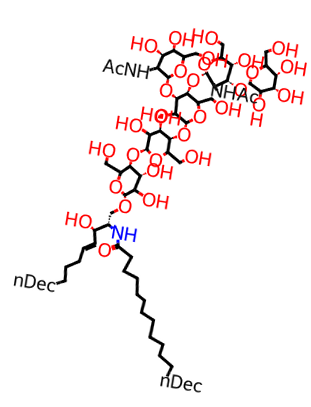 CCCCCCCCCCCCC/C=C/[C@@H](O)[C@H](CO[C@@H]1OC(CO)[C@@H](O[C@@H]2OC(CO)[C@H](O[C@@H]3OC(CO)[C@H](O[C@@H]4OC(CO)[C@H](O)[C@H](O[C@@H]5OC(CO)[C@H](O)[C@H](O)C5O)C4NC(C)=O)[C@H](O[C@@H]4OC(CO)[C@H](O)[C@H](O)C4NC(C)=O)C3O)[C@H](O)C2O)[C@H](O)C1O)NC(=O)CCCCCCCCCCCCCCCCCCCCC